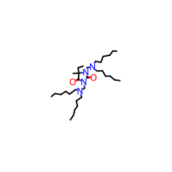 CCCCCCN(CCCCCC)CN1C(=O)N(CN(CCCCCC)CCCCCC)C(C)(CC)C1=O